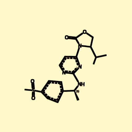 CC(C)C1COC(=O)N1c1ccnc(N[C@@H](C)c2ccc(S(C)(=O)=O)cc2)n1